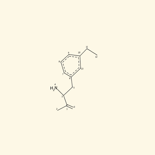 C=C(C)C(N)Cc1cccc(CC)c1